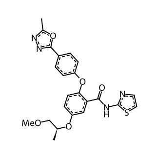 COC[C@H](C)Oc1ccc(Oc2ccc(-c3nnc(C)o3)cc2)c(C(=O)Nc2nccs2)c1